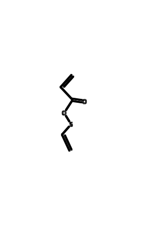 C=CSOC(=O)C=C